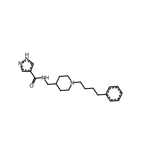 O=C(NCC1CCN(CCCCc2ccccc2)CC1)c1cn[nH]c1